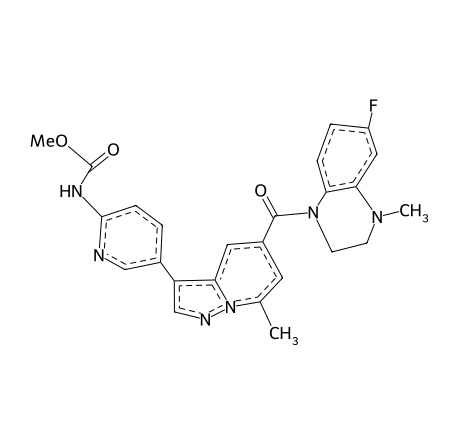 COC(=O)Nc1ccc(-c2cnn3c(C)cc(C(=O)N4CCN(C)c5cc(F)ccc54)cc23)cn1